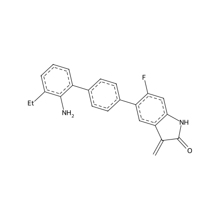 C=C1C(=O)Nc2cc(F)c(-c3ccc(-c4cccc(CC)c4N)cc3)cc21